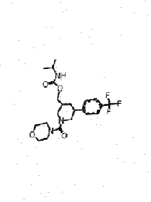 CC(C)NC(=O)OCC1CC(c2ccc(C(F)(F)F)cc2)CN(C(=O)N2CCOCC2)C1